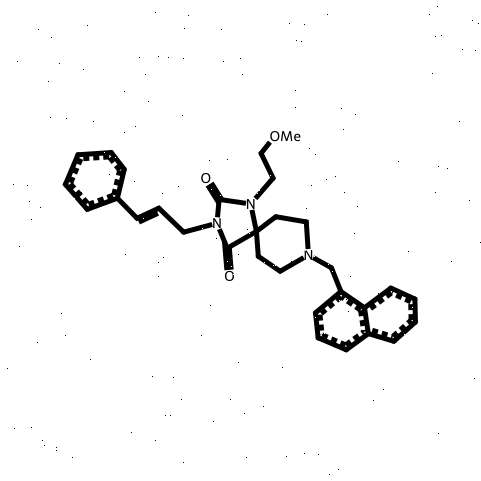 COCCN1C(=O)N(C/C=C/c2ccccc2)C(=O)C12CCN(Cc1cccc3ccccc13)CC2